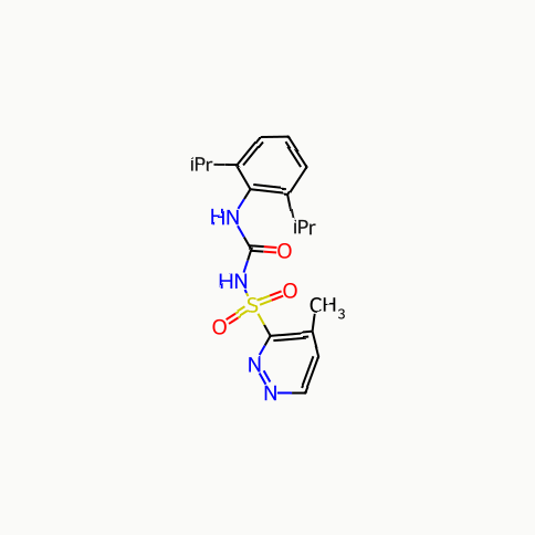 Cc1ccnnc1S(=O)(=O)NC(=O)Nc1c(C(C)C)cccc1C(C)C